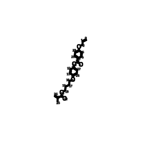 C=CCOc1ccc(C(=O)Oc2ccc(OCCCCOC(=O)C(=C)C)cc2)cc1